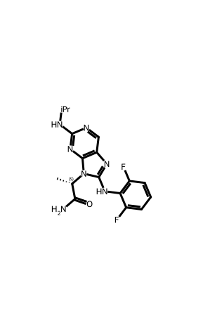 CC(C)Nc1ncc2nc(Nc3c(F)cccc3F)n([C@@H](C)C(N)=O)c2n1